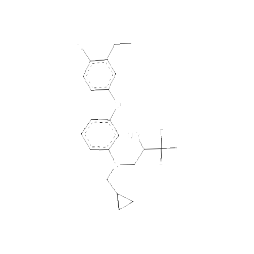 CCc1cc(Oc2cccc(N(CC3CC3)CC(O)C(F)(F)F)c2)ccc1Cl